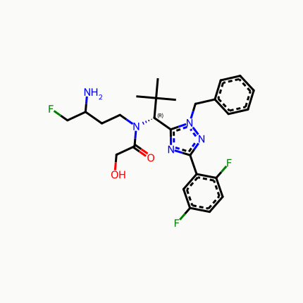 CC(C)(C)[C@H](c1nc(-c2cc(F)ccc2F)nn1Cc1ccccc1)N(CCC(N)CF)C(=O)CO